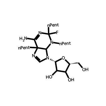 CCCCCN1C2N([C@@H]3O[C@H](CO)C(O)C3O)C=NC2(CCCCC)C(N)=NC1(F)CCCCC